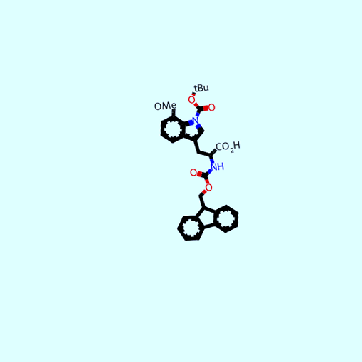 COc1cccc2c(CC(NC(=O)OCC3c4ccccc4-c4ccccc43)C(=O)O)cn(C(=O)OC(C)(C)C)c12